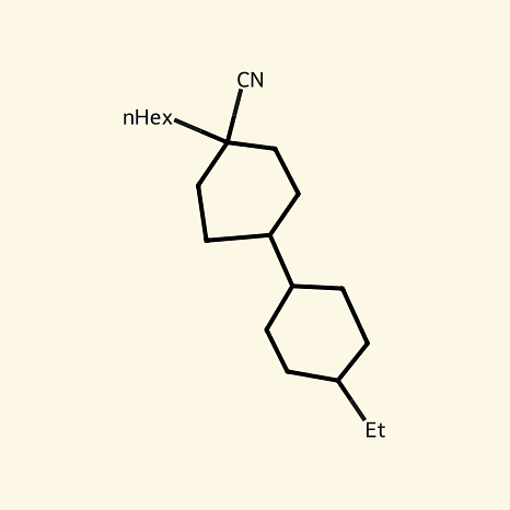 CCCCCCC1(C#N)CCC(C2CCC(CC)CC2)CC1